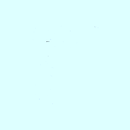 COCO[C@@H]1CC[C@@H]2[C@H](C1)C[C@H](OS(C)(=O)=O)[C@H]2/C=C/c1ccc(-c2cccc(F)c2)cn1